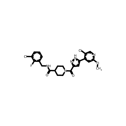 COc1cc(-c2cc(C(=O)N3CCC(C(=O)NCc4cccc(Cl)c4F)CC3)n[nH]2)c(Cl)cn1